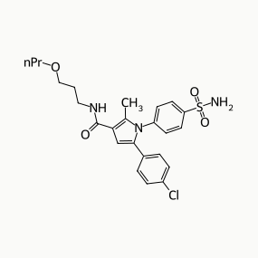 CCCOCCCNC(=O)c1cc(-c2ccc(Cl)cc2)n(-c2ccc(S(N)(=O)=O)cc2)c1C